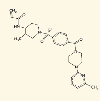 C=CC(=O)NC1CCN(S(=O)(=O)c2ccc(C(=O)N3CCN(c4cccc(C)n4)CC3)cc2)CC1C